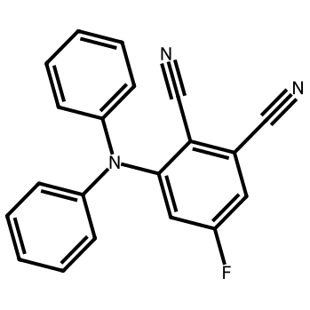 N#Cc1cc(F)cc(N(c2ccccc2)c2ccccc2)c1C#N